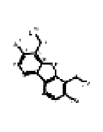 BrCc1c(Br)ccc2c1oc1c(CBr)c(Br)ccc12